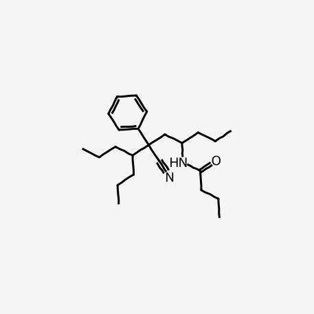 CCCC(=O)NC(CCC)CC(C#N)(c1ccccc1)C(CCC)CCC